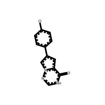 O=c1[nH]cnn2cc(-c3ccc(Cl)cc3)cc12